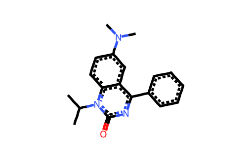 CC(C)n1c(=O)nc(-c2ccccc2)c2cc(N(C)C)ccc21